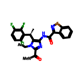 CNC(=O)c1nc(NC(=O)c2nsc3ccccc23)c([C@@H](C)c2c(Cl)ccc(F)c2F)n1CC(C)=O